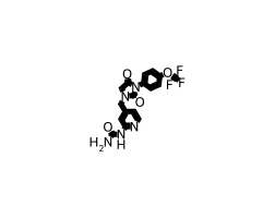 NC(=O)Nc1cc(CN2CC(=O)N(c3ccc(OC(F)(F)F)cc3)C2=O)ccn1